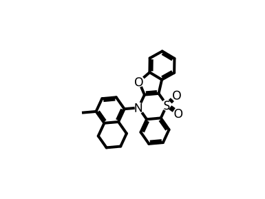 Cc1ccc(N2c3ccccc3S(=O)(=O)c3c2oc2ccccc32)c2c1CCCC2